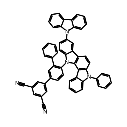 N#Cc1cc(C#N)cc(-c2ccc(-n3c4ccc(-n5c6ccccc6c6ccccc65)cc4c4ccc5c(c6ccccc6n5-c5ccccc5)c43)c(-c3ccccc3)c2)c1